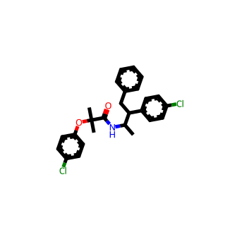 CC(NC(=O)C(C)(C)Oc1ccc(Cl)cc1)C(Cc1ccccc1)c1ccc(Cl)cc1